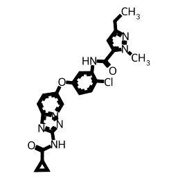 CCc1cc(C(=O)Nc2cc(Oc3ccc4nc(NC(=O)C5CC5)nn4c3)ccc2Cl)n(C)n1